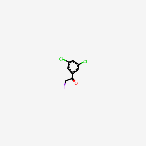 O=C(CI)c1cc(Cl)cc(Cl)c1